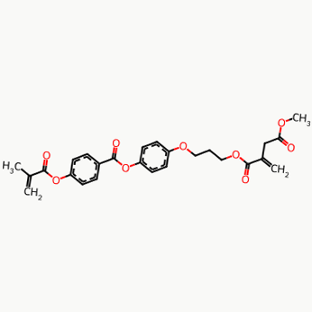 C=C(C)C(=O)Oc1ccc(C(=O)Oc2ccc(OCCCOC(=O)C(=C)CC(=O)OC)cc2)cc1